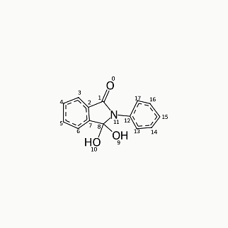 O=C1c2ccccc2C(O)(O)N1c1ccccc1